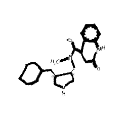 CN(C[C@@H]1CNC[C@H]1CC1CCCCC1)C(=O)C1CC(=O)Nc2ccccc21